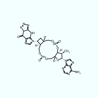 C[C@@H]1[C@@H]2O[PH](=O)OC[C@H]3C[C@@H](n4cnc5c4NC4=NN=NC4C5=O)[C@@H]3CO[PH](=O)OC[C@H]2O[C@H]1n1cnc2c(N)ncnc21